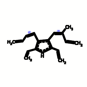 C=C/C=C\c1c(C=C)[nH]c(C=C)c1/C=C(/C)C=C